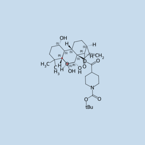 C=C1C(=O)[C@]23[C@H](OC(=O)C4CCN(C(=O)OC(C)(C)C)CC4)[C@H]1CC[C@H]2[C@@]12CO[C@@]3(O)[C@@H](O)[C@@H]1C(C)(C)CC[C@@H]2O